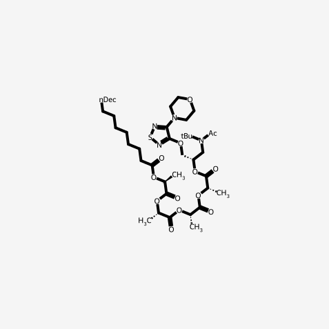 CCCCCCCCCCCCCCCCCC(=O)O[C@@H](C)C(=O)O[C@@H](C)C(=O)O[C@@H](C)C(=O)O[C@@H](C)C(=O)O[C@H](COc1nsnc1N1CCOCC1)CN(C(C)=O)C(C)(C)C